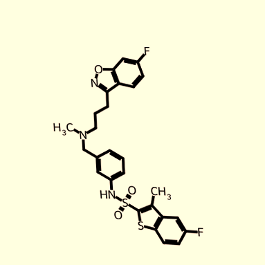 Cc1c(S(=O)(=O)Nc2cccc(CN(C)CCCc3noc4cc(F)ccc34)c2)sc2ccc(F)cc12